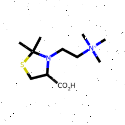 CC1(C)SCC(C(=O)O)N1CC[N+](C)(C)C